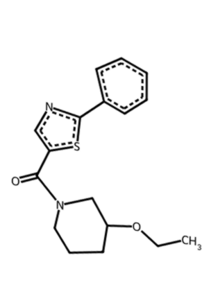 CCOC1CCCN(C(=O)c2cnc(-c3ccccc3)s2)C1